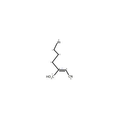 CC(C)CCC/C(=C/C#N)C(=O)O